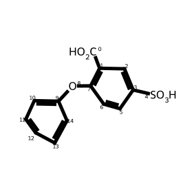 O=C(O)c1cc(S(=O)(=O)O)ccc1Oc1ccccc1